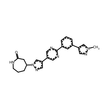 Cn1cc(-c2cccc(-c3ncc(-c4cnn(C5CCCNC(=O)C5)c4)cn3)c2)cn1